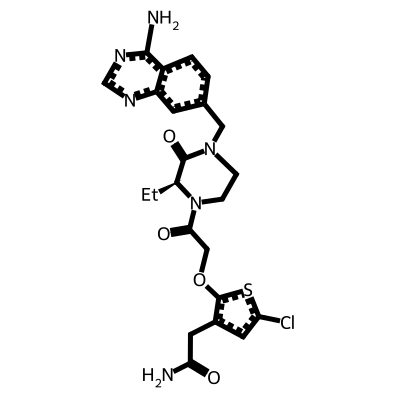 CC[C@H]1C(=O)N(Cc2ccc3c(N)ncnc3c2)CCN1C(=O)COc1sc(Cl)cc1CC(N)=O